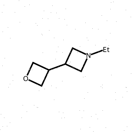 CCN1CC(C2COC2)C1